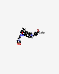 C=C(C)[C@@H]1CC[C@]2(CNCCCN3CCS(=O)(=O)CC3)CC[C@]3(C)[C@H](CC[C@@H]4[C@@]5(C)CCN(Cc6ccc(C(=O)OC)cc6)C(C)(C)[C@@H]5CC[C@]43C)[C@@H]12